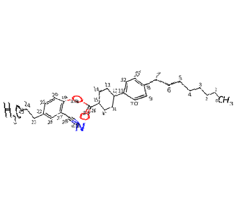 CCCCCCCCc1ccc(C2CCC(C(=O)Oc3ccc(CCC)cc3C#N)CC2)cc1